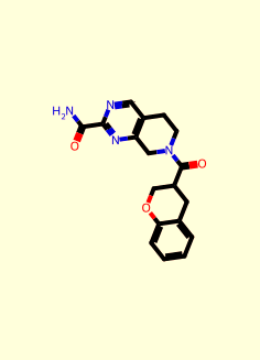 NC(=O)c1n[c]c2c(n1)CN(C(=O)C1COc3ccccc3C1)CC2